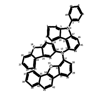 c1ccc(-n2c3ccccc3c3c(N(c4ccc5sc6ccccc6c5c4)c4cccc5c4oc4c6ccccc6ccc54)cccc32)cc1